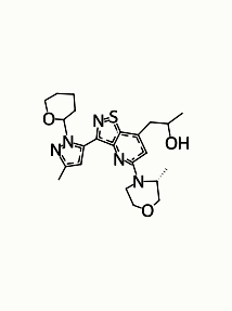 Cc1cc(-c2nsc3c(CC(C)O)cc(N4CCOC[C@H]4C)nc23)n(C2CCCCO2)n1